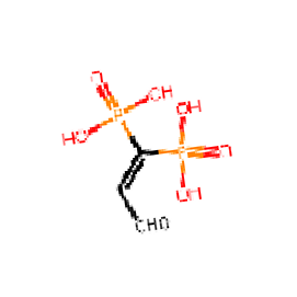 O=CC=C(P(=O)(O)O)P(=O)(O)O